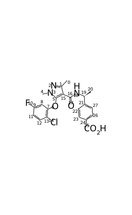 Cc1nn(C)c(Oc2cc(F)ccc2Cl)c1C(=O)N[C@@H](C)c1ccc(C(=O)O)cc1